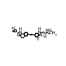 CCC(N)NCc1nc2c(F)cc(C#Cc3ccc4c(c3)CCc3nc([C@@H]5C[C@H]6CC65)[nH]c3-4)cc2[nH]1